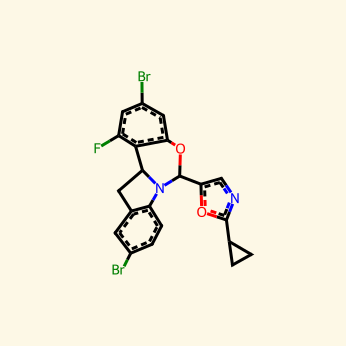 Fc1cc(Br)cc2c1C1Cc3cc(Br)ccc3N1C(c1cnc(C3CC3)o1)O2